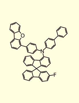 Fc1ccc2c(c1)C1(c3ccccc3-2)c2ccccc2-c2c(N(c3ccc(-c4ccccc4)cc3)c3ccc(-c4cccc5c4oc4ccccc45)cc3)cccc21